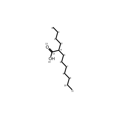 [CH2]CCCC(CCCCCCC)C(=O)O